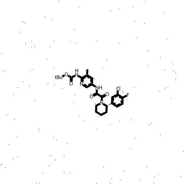 Cc1cc(NC(=O)C(=O)N2CCCC[C@H]2c2ccc(F)c(Cl)c2)cnc1NC(=O)OC(C)(C)C